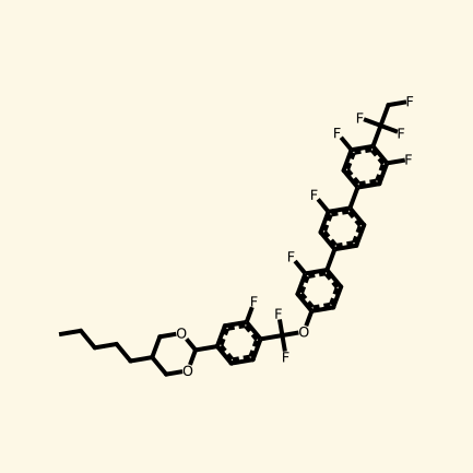 CCCCCC1COC(c2ccc(C(F)(F)Oc3ccc(-c4ccc(-c5cc(F)c(C(F)(F)CF)c(F)c5)c(F)c4)c(F)c3)c(F)c2)OC1